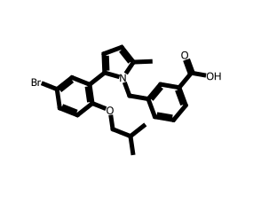 Cc1ccc(-c2cc(Br)ccc2OCC(C)C)n1Cc1cccc(C(=O)O)c1